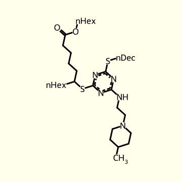 CCCCCCCCCCSc1nc(NCCN2CCC(C)CC2)nc(SC(CCCCCC)CCCCC(=O)OCCCCCC)n1